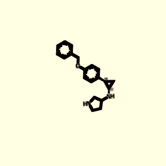 c1ccc(COc2ccc([C@H]3C[C@@H]3NC3CCNC3)cc2)cc1